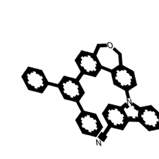 N#Cc1ccc2c(c1)c1ccccc1n2-c1ccc2c(c1)-c1cc(-c3cc(-c4ccccc4)cc(-c4ccccc4)c3)ccc1COC2